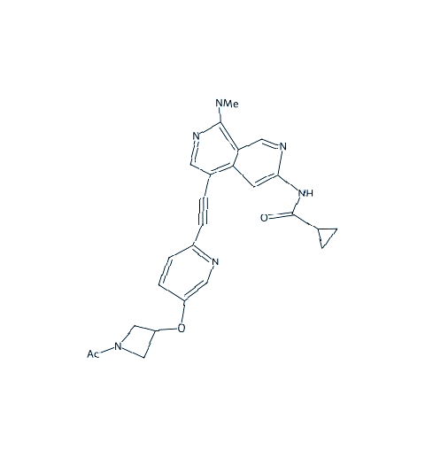 CNc1ncc(C#Cc2ccc(OC3CN(C(C)=O)C3)cn2)c2cc(NC(=O)C3CC3)ncc12